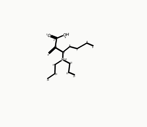 C=C(C(=O)O)C(CCCC)N(CCC)CCC